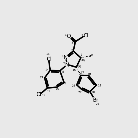 C[C@H]1C(C(=O)Cl)=NN(c2ccc(Cl)cc2Cl)[C@H]1c1ccc(Br)cc1